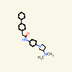 CN(C)C1CCN(c2ccc(NC(=O)Cc3ccc(-c4ccccc4)cc3)cc2)C1